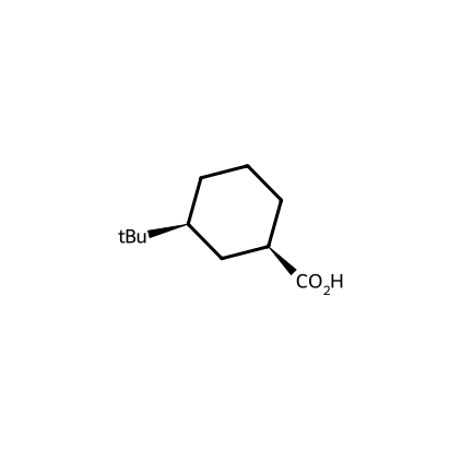 CC(C)(C)[C@H]1CCC[C@@H](C(=O)O)C1